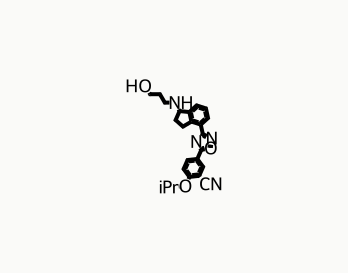 CC(C)Oc1ccc(-c2nc(-c3cccc4c3CCC4NCCCO)no2)cc1C#N